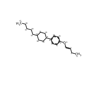 CCC=COc1ccc(C2CCC(CCCCC)CC2)cc1